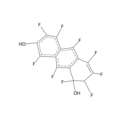 Oc1c(F)c(F)c2c(F)c3c(c(F)c2c1F)C(O)(F)C(F)C(F)=C3F